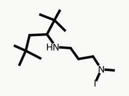 CN(I)CCCNC(CC(C)(C)C)C(C)(C)C